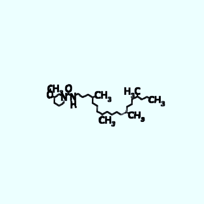 CCCC(C)CCCC(C)CCCCC(C)CCCC(C)CCCNC(=O)N1CCCC(OC)C1